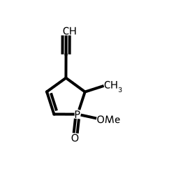 C#CC1C=CP(=O)(OC)C1C